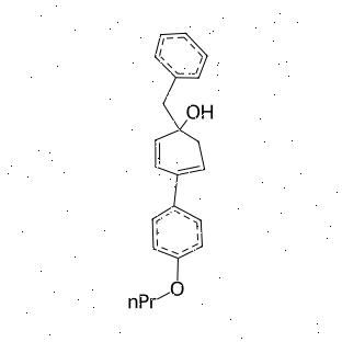 CCCOc1ccc(C2=CCC(O)(Cc3ccccc3)C=C2)cc1